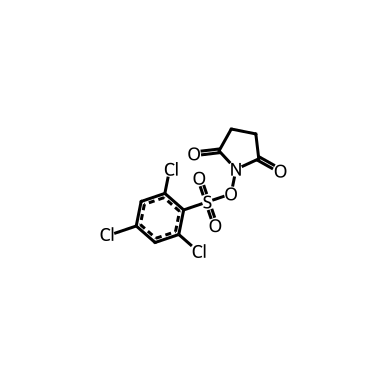 O=C1CCC(=O)N1OS(=O)(=O)c1c(Cl)cc(Cl)cc1Cl